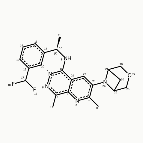 Cc1nc2c(C)nnc(N[C@H](C)c3cccc(C(F)F)c3)c2cc1N1C2COCC1C2